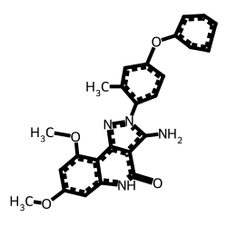 COc1cc(OC)c2c(c1)[nH]c(=O)c1c(N)n(-c3ccc(Oc4ccccc4)cc3C)nc12